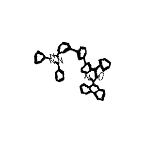 c1ccc(-c2nc(-c3ccccc3)nc(-c3cccc(-c4cccc(-c5ccc6nc(-c7cc8ccccc8c8ccccc78)c7oc8ccccc8c7c6c5)c4)c3)n2)cc1